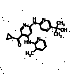 Cc1cccnc1Nc1cc(Nc2ccc(C(C)(C)O)cn2)ncc1C(=O)C1CC1